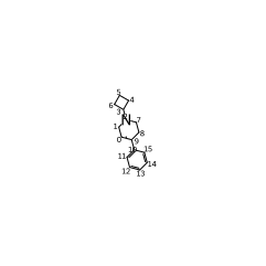 [CH]1CN(C2CCC2)CCC1c1ccccc1